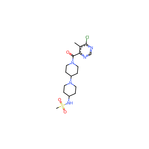 Cc1c(Cl)ncnc1C(=O)N1CCC(N2CCC(NS(C)(=O)=O)CC2)CC1